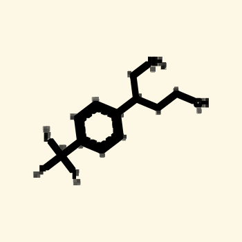 NCC(CCO)c1ccc(C(F)(F)F)cc1